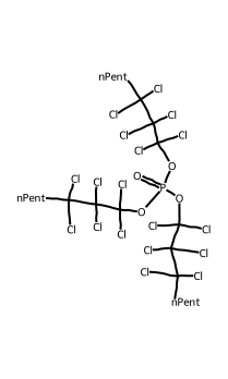 CCCCCC(Cl)(Cl)C(Cl)(Cl)C(Cl)(Cl)OP(=O)(OC(Cl)(Cl)C(Cl)(Cl)C(Cl)(Cl)CCCCC)OC(Cl)(Cl)C(Cl)(Cl)C(Cl)(Cl)CCCCC